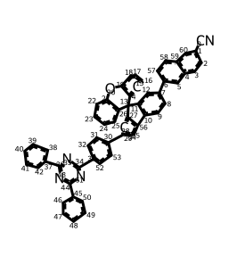 N#Cc1ccc2cc(-c3ccc4c(c3)C3(c5ccccc5Oc5ccccc53)c3cc(-c5ccc(-c6nc(-c7ccccc7)nc(-c7ccccc7)n6)cc5)ccc3-4)ccc2c1